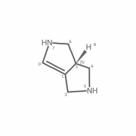 C1=C2CNC[C@H]2CN1